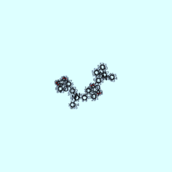 c1ccc(-c2cc(-c3cccc(-c4cccc5c4-c4ccccc4C54c5ccccc5Oc5c(-c6ccc(-c7nc(-c8ccccc8)cc(-c8ccccc8-c8ccccc8)n7)cc6)cccc54)c3)nc(-c3ccc(-c4cccc5c4Oc4ccccc4C54c5ccccc5-c5ccccc54)cc3)n2)cc1